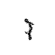 CCOc1cc(C(C)(C)c2ccccc2)sc1C(C)(C)C(C)(C)c1ccc(C(C)(C)C(C)(C)c2sc(C(C)(C)c3ccccc3)cc2OCC)s1